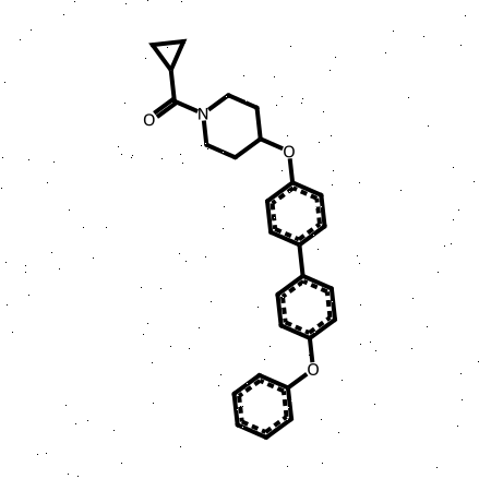 O=C(C1CC1)N1CCC(Oc2ccc(-c3ccc(Oc4ccccc4)cc3)cc2)CC1